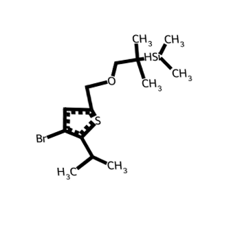 CC(C)c1sc(COCC(C)(C)[SiH](C)C)cc1Br